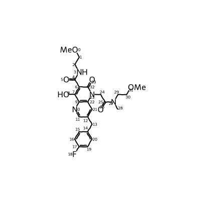 COCCNC(=O)c1c(O)c2ncc(Cc3ccc(F)cc3)cc2n(CC(=O)N(C)CCOC)c1=O